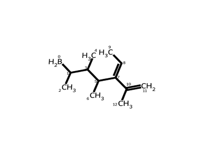 BC(C)C(C)C(C)/C(=C\C)C(=C)C